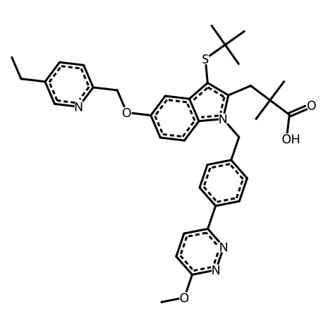 CCc1ccc(COc2ccc3c(c2)c(SC(C)(C)C)c(CC(C)(C)C(=O)O)n3Cc2ccc(-c3ccc(OC)nn3)cc2)nc1